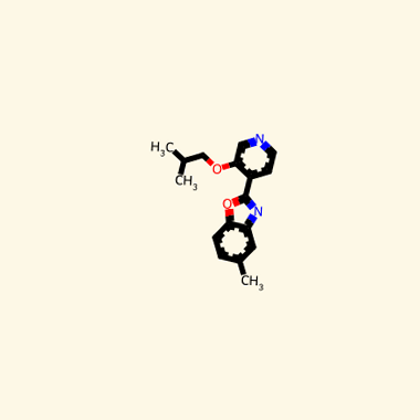 Cc1ccc2oc(-c3ccncc3OCC(C)C)nc2c1